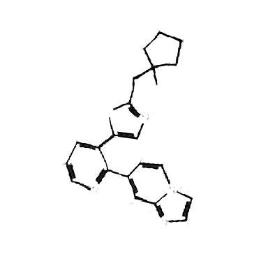 FC1(Cc2ncc(-c3cccnc3-c3ccn4ccnc4c3)o2)CCCC1